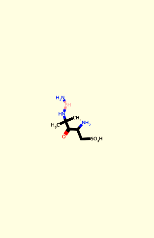 CC(C)(NBN)C(=O)C(N)CS(=O)(=O)O